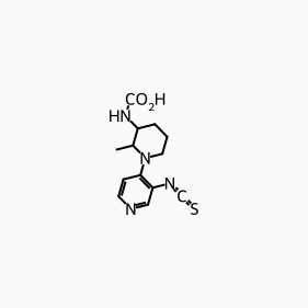 CC1C(NC(=O)O)CCCN1c1ccncc1N=C=S